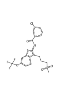 CS(=O)(=O)CCCn1/c(=N/C(=O)c2cccc(Cl)c2)sc2cc(OC(F)(F)F)ccc21